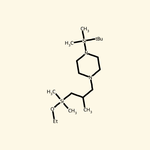 CCO[Si](C)(C)CC(C)CN1CCN([Si](C)(C)C(C)(C)C)CC1